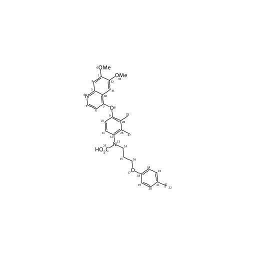 COc1cc2nccc(Oc3ccc(N(CCCOc4ccc(F)cc4)C(=O)O)c(C)c3C)c2cc1OC